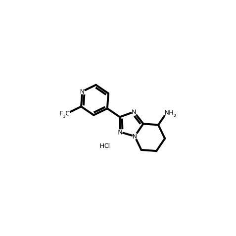 Cl.NC1CCCn2nc(-c3ccnc(C(F)(F)F)c3)nc21